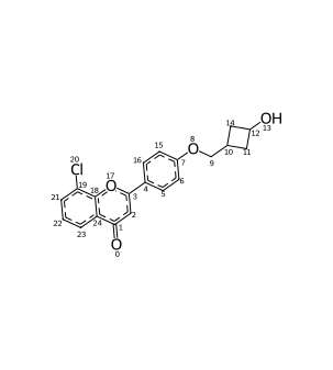 O=c1cc(-c2ccc(OCC3CC(O)C3)cc2)oc2c(Cl)cccc12